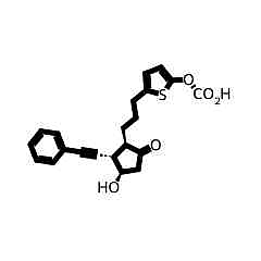 O=C(O)Oc1ccc(CCC[C@H]2C(=O)C[C@@H](O)[C@@H]2C#Cc2ccccc2)s1